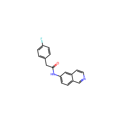 O=C(Cc1ccc(F)cc1)Nc1ccc2cnccc2c1